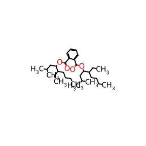 CCCCC(CC)C(CC(C)C)OC(=O)c1ccccc1C(=O)OC(CC(C)C)C(CC)CCCC